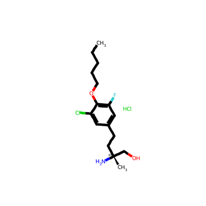 CCCCCOc1c(F)cc(CC[C@@](C)(N)CO)cc1Cl.Cl